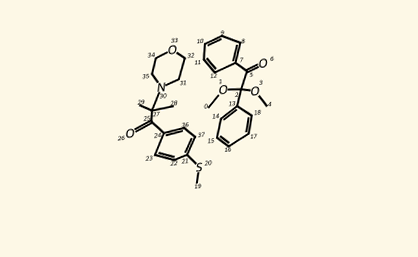 COC(OC)(C(=O)c1ccccc1)c1ccccc1.CSc1ccc(C(=O)C(C)(C)N2CCOCC2)cc1